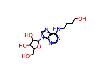 OCCCCNc1ncnc2c1ncn2C1OC(CO)C(O)C1O